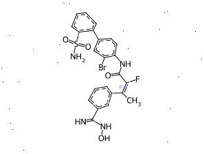 C/C(=C(\F)C(=O)Nc1ccc(-c2ccccc2S(N)(=O)=O)cc1Br)c1cccc(C(=N)NO)c1